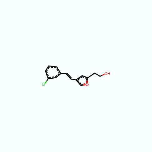 OCCc1cc(C=Cc2cccc(Cl)c2)co1